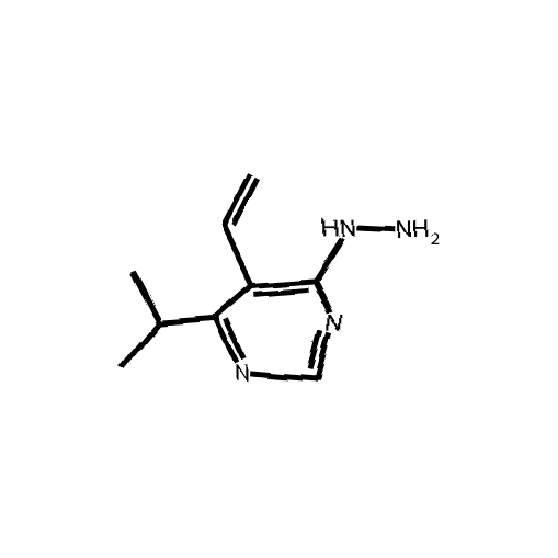 C=Cc1c(NN)ncnc1C(C)C